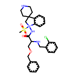 CS(=O)(=O)[N+]1(NC(=O)C(COCc2ccccc2)NCc2ccccc2Cl)CC2(CCNCC2)c2ccccc21